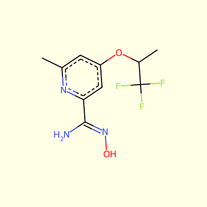 Cc1cc(OC(C)C(F)(F)F)cc(C(N)=NO)n1